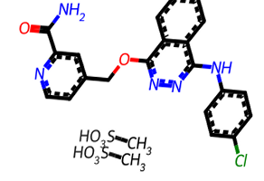 CS(=O)(=O)O.CS(=O)(=O)O.NC(=O)c1cc(COc2nnc(Nc3ccc(Cl)cc3)c3ccccc23)ccn1